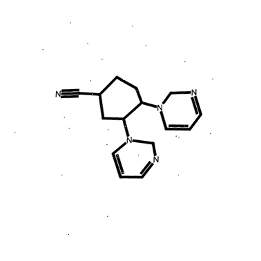 N#CC1CCC(N2C=CC=NC2)C(N2C=CC=NC2)C1